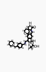 O=C(O)C(F)(F)F.O=C1NCC2(CCOCC2)/C1=C\c1ccc2c(/C=C/c3ccc(CN4CCCCC4)cc3)n[nH]c2c1